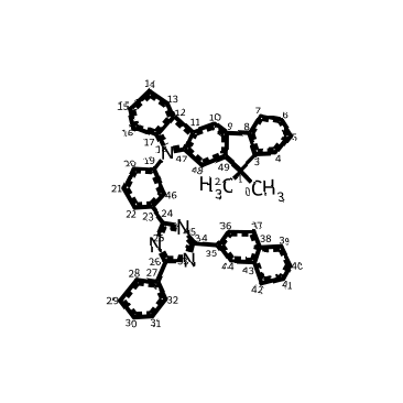 CC1(C)c2ccccc2-c2cc3c4ccccc4n(-c4cccc(-c5nc(-c6ccccc6)nc(-c6ccc7ccccc7c6)n5)c4)c3cc21